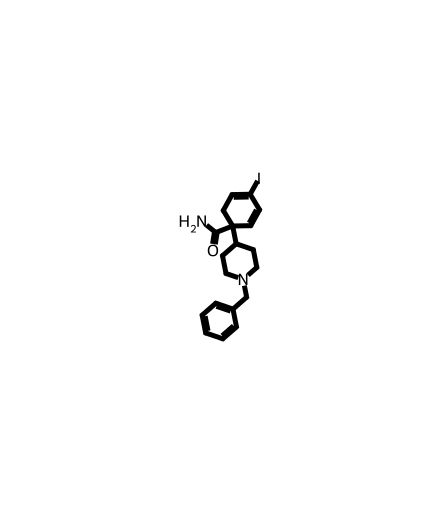 NC(=O)C1(C2CCN(Cc3ccccc3)CC2)C=CC(I)=CC1